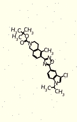 Cc1c(-c2noc(-c3ccc4c(c3)c(Cl)cn4C(C)C)n2)ccc2c1CCN(C(=O)OC(C)(C)C)C2